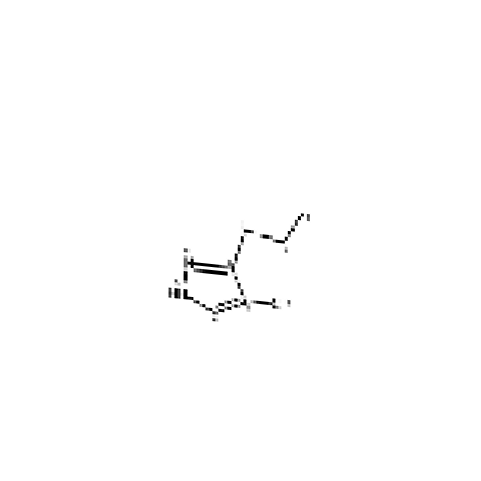 CCCc1n[nH]cc1Cl